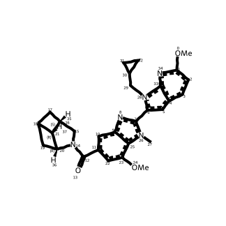 COc1ccc2cc(-c3nc4cc(C(=O)N5C[C@H]6CC7C[C@@H]5[C@H]76)cc(OC)c4n3C)n(CC3CC3)c2n1